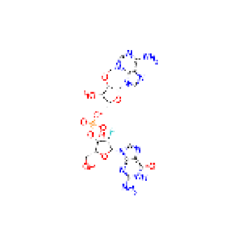 COC1C(O)[C@@H](COP(=O)(O)OC2C(F)[C@H](n3cnc4c(=O)[nH]c(N)nc43)O[C@@H]2CO)O[C@H]1n1cnc2c(N)ncnc21